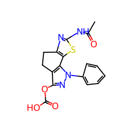 CC(=O)Nc1nc2c(s1)-c1c(c(OC(=O)O)nn1-c1ccccc1)CC2